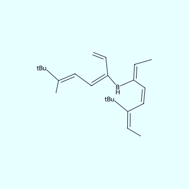 C=C/C(BC(/C=C\C(=C/C)C(C)(C)C)=C/C)=C\C=C(/C)C(C)(C)C